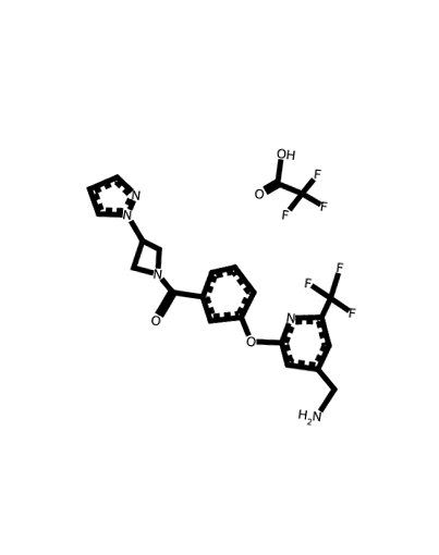 NCc1cc(Oc2cccc(C(=O)N3CC(n4cccn4)C3)c2)nc(C(F)(F)F)c1.O=C(O)C(F)(F)F